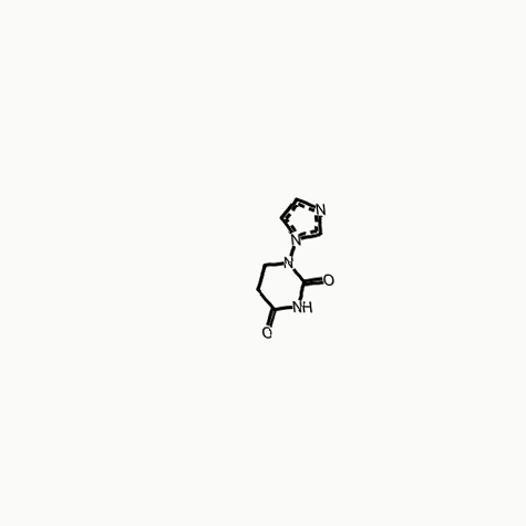 O=C1CCN(n2ccnc2)C(=O)N1